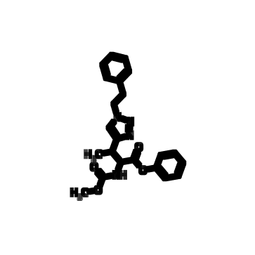 COC(=O)NC(C(=O)Oc1ccccc1)C(C)c1cn(CCc2ccccc2)nn1